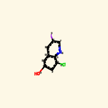 Oc1cc(Cl)c2ncc(I)cc2c1